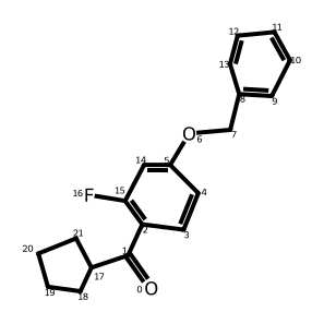 O=C(c1ccc(OCc2ccccc2)cc1F)C1CCCC1